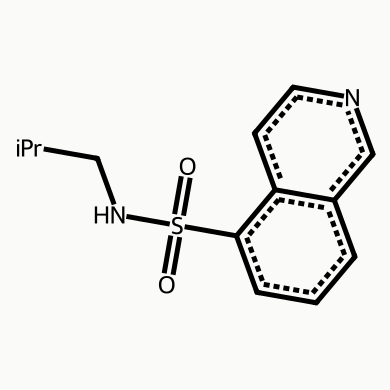 CC(C)CNS(=O)(=O)c1cccc2cnccc12